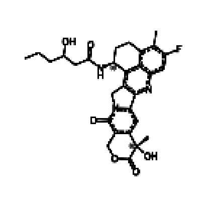 CCCC(O)CC(=O)N[C@H]1CCc2c(C)c(F)cc3nc4c(c1c23)Cn1c-4cc2c(c1=O)COC(=O)[C@@]2(C)O